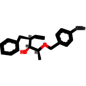 C=C[C@H](Cc1ccccc1)[C@@H](O)[C@H](C)OCc1ccc(OC)cc1